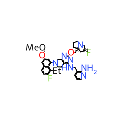 CCc1c(F)ccc2cc(OCOC)cc(N3CCc4c(nc(OC[C@@]56CCCN5C[C@H](F)C6)nc4NCc4cccnc4N)C3)c12